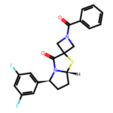 O=C(c1ccccc1)N1CC2(C1)S[C@@H]1CC[C@@H](c3cc(F)cc(F)c3)N1C2=O